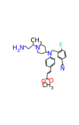 COC(=O)C=Cc1ccc(N(Cc2cc(C#N)ccc2F)C2CCN(C(C)CCN)CC2)cc1